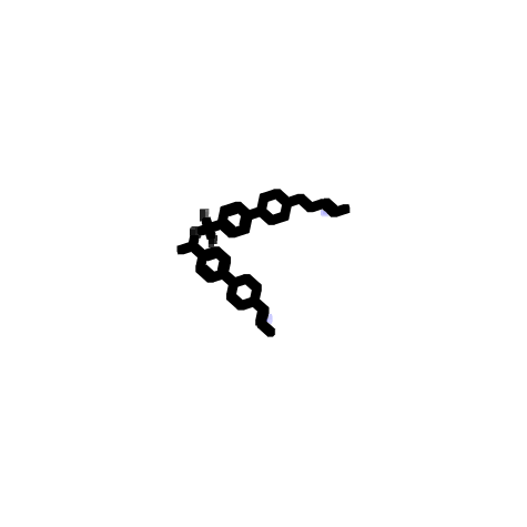 C/C=C/CCC1CCC(c2ccc(C(F)(F)OC(C)c3ccc(C4CCC(/C=C/C)CC4)cc3)cc2)CC1